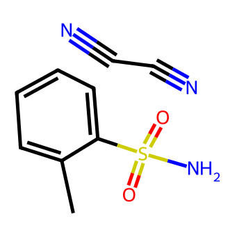 Cc1ccccc1S(N)(=O)=O.N#CC#N